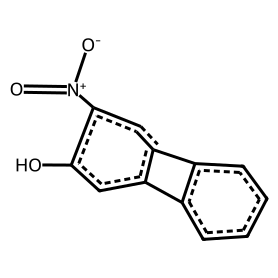 O=[N+]([O-])c1cc2c(cc1O)-c1ccccc1-2